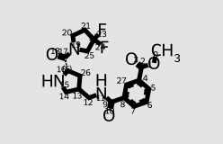 COC(=O)c1cccc(C(=O)NCC2CN[C@H](C(=O)N3CCC(F)(F)C3)C2)c1